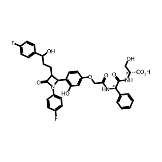 O=C(COc1ccc(C2C(CCC(O)c3ccc(F)cc3)C(=O)N2c2ccc(F)cc2)c(O)c1)N[C@@H](C(=O)N[C@H](CO)C(=O)O)c1ccccc1